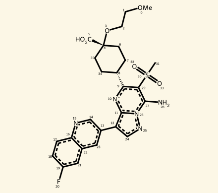 COCCO[C@]1(C(=O)O)CC[C@H](c2nc3c(-c4cnc5ccc(F)cc5c4)cnn3c(N)c2S(C)(=O)=O)CC1